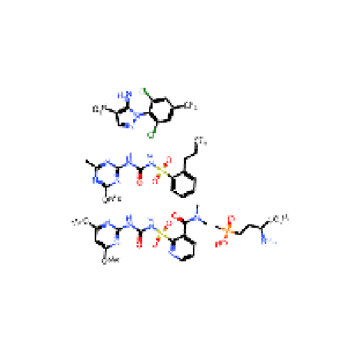 COc1cc(OC)nc(NC(=O)NS(=O)(=O)c2ncccc2C(=O)N(C)C)n1.COc1nc(C)nc(NC(=O)NS(=O)(=O)c2ccccc2CCC(F)(F)F)n1.CP(=O)(O)CCC(N)C(=O)O.Nc1c([N+](=O)[O-])cnn1-c1c(Cl)cc(C(F)(F)F)cc1Cl